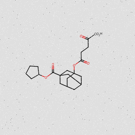 O=C(CCC(=O)C(=O)O)OC12CC3CC(C1)CC(C(=O)OC1CCCC1)(C3)C2